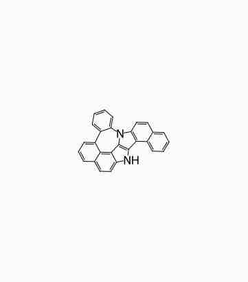 c1ccc2c(c1)ccc1c2c2[nH]c3ccc4cccc5c6ccccc6n1c2c3c45